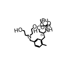 Cc1ccc(CN(CCO)CCO)cc1C[C@@H](CC(=O)O)NC(=O)OC(C)(C)C